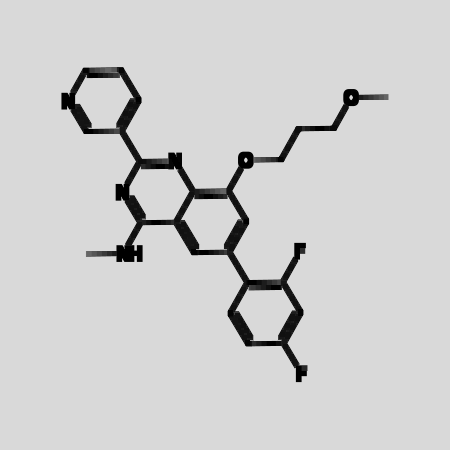 CNc1nc(-c2cccnc2)nc2c(OCCCOC)cc(-c3ccc(F)cc3F)cc12